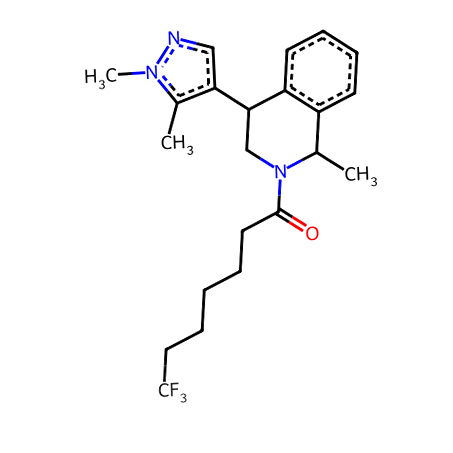 Cc1c(C2CN(C(=O)CCCCCC(F)(F)F)C(C)c3ccccc32)cnn1C